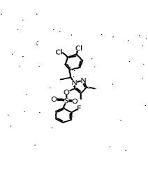 Cc1nn(C(C)c2ccc(Cl)c(Cl)c2)c(OS(=O)(=O)c2ccccc2F)c1C